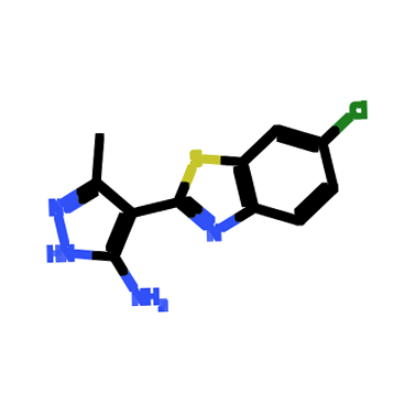 Cc1n[nH]c(N)c1-c1nc2ccc(Cl)cc2s1